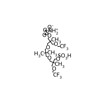 CC(C)(COCC(C)(COCC(F)(F)F)COS(=O)(=O)O)COCC(C)(COCC(F)(F)F)COS(=O)(=O)[NH2+][O-]